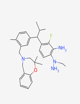 CCN(N)c1ccc(C(c2ccc(C)c(CN3Cc4ccccc4OC(C)(C)C3)c2)C(C)C)c(F)c1N